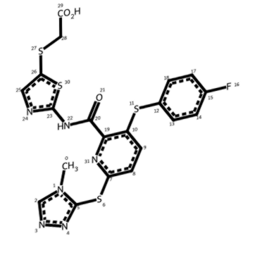 Cn1cnnc1Sc1ccc(Sc2ccc(F)cc2)c(C(=O)Nc2ncc(SCC(=O)O)s2)n1